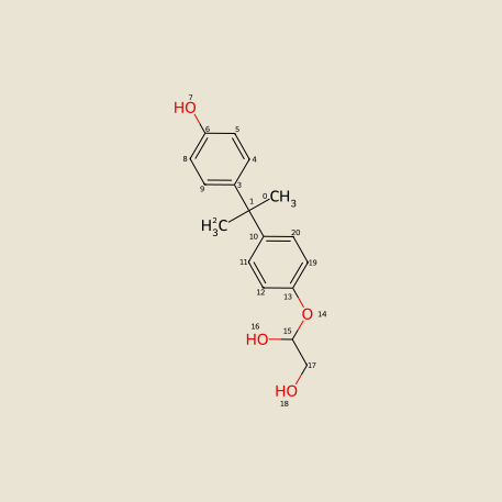 CC(C)(c1ccc(O)cc1)c1ccc(OC(O)CO)cc1